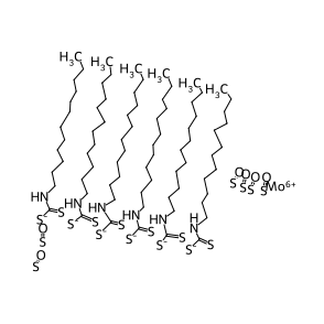 CCCCCCCCCCCCNC(=S)[S-].CCCCCCCCCCCCNC(=S)[S-].CCCCCCCCCCCCNC(=S)[S-].CCCCCCCCCCCCNC(=S)[S-].CCCCCCCCCCCCNC(=S)[S-].CCCCCCCCCCCCNC(=S)[S-].O=S.O=S.O=S.O=S.O=S.O=S.[Mo+6]